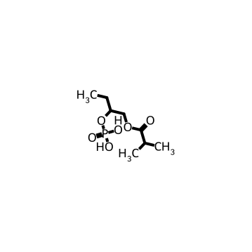 CCC(COC(=O)C(C)C)OP(=O)(O)O